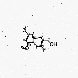 COc1cc(CC(CO)=C(F)F)cc(OC)c1